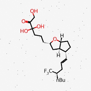 CCCC[C@H](CC=C[C@H]1CC[C@H]2O[C@@H](CCCC(O)(O)C(=O)CO)C[C@H]12)C(F)(F)F